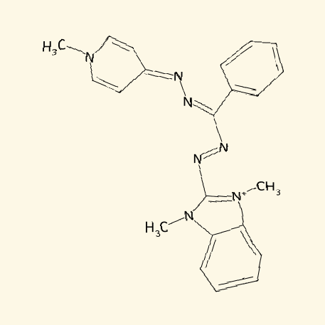 Cn1ccc(=NN=C(N=Nc2n(C)c3ccccc3[n+]2C)c2ccccc2)cc1